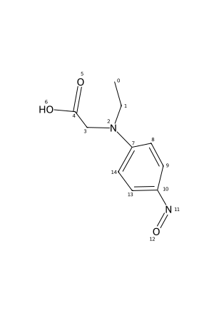 CCN(CC(=O)O)c1ccc(N=O)cc1